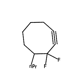 CCCC1CCCCC#CC1(F)F